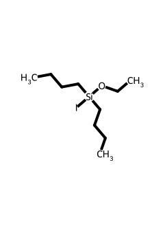 CCCC[Si](I)(CCCC)OCC